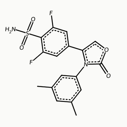 Cc1cc(C)cc(-n2c(-c3cc(F)c(S(N)(=O)=O)c(F)c3)coc2=O)c1